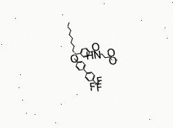 CCCCCCCCC(Oc1ccc(-c2ccc(C(F)(F)F)cc2)cc1)c1ccc(C(=O)NCCC(=O)OC)cc1